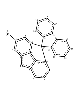 Brc1cc2c3c(c1)oc1cccc(c13)C2(c1ccccc1)c1ccccc1